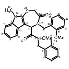 COc1ccccc1CNC(=O)C1c2c(n(C)c3ccccc23)SCC(=O)N1Cc1ccccc1OC